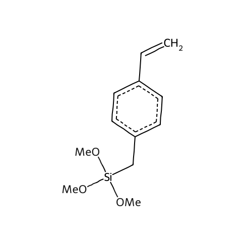 C=Cc1ccc(C[Si](OC)(OC)OC)cc1